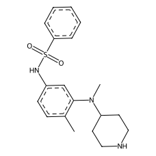 Cc1ccc(NS(=O)(=O)c2ccccc2)cc1N(C)C1CCNCC1